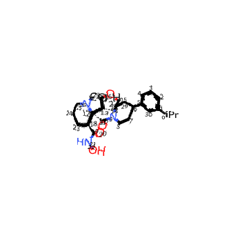 CC(C)c1cccc(C2CCN(C(=O)[C@]3([C@H]4CCOC4)[C@@H](C(=O)NO)CCCN3C(=O)O)CC2)c1